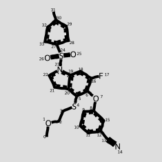 COCCSc1c(Oc2cccc(C#N)c2)c(F)cc2c1ccn2S(=O)(=O)c1ccc(C)cc1